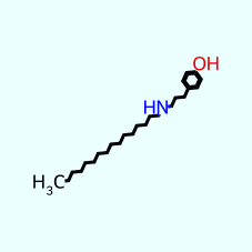 CCCCCCCCCCCCCCCCNCCCc1ccc(O)cc1